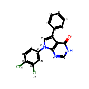 O=c1[nH]cnc2c1c(-c1ccccc1)cn2-c1ccc(Cl)c(Cl)c1